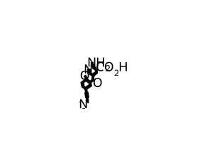 CN(C)CC#Cc1ccc2oc3nc(N)c(C(=O)O)cc3c(=O)c2c1